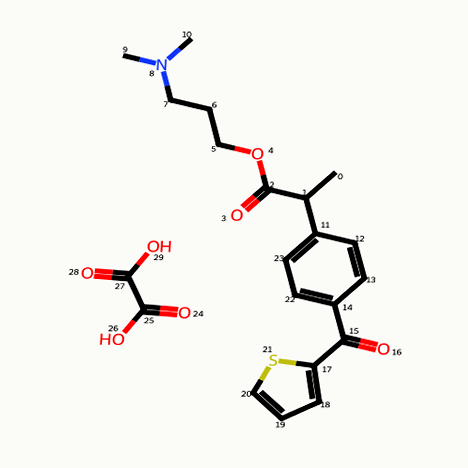 CC(C(=O)OCCCN(C)C)c1ccc(C(=O)c2cccs2)cc1.O=C(O)C(=O)O